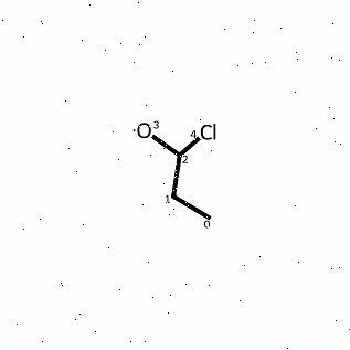 CCC([O])Cl